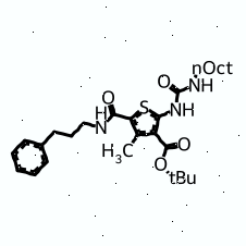 CCCCCCCCNC(=O)Nc1sc(C(=O)NCCCc2ccccc2)c(C)c1C(=O)OC(C)(C)C